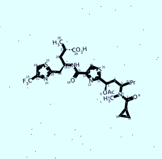 CC(=O)O[C@H](CC(C(C)C)N(C)C(=O)C1CC1)c1nc(C(=O)N[C@@H](Cc2nc(C(F)(F)F)cs2)C[C@H](C)C(=O)O)cs1